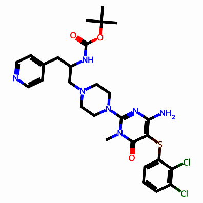 Cn1c(N2CCN(CC(Cc3ccncc3)NC(=O)OC(C)(C)C)CC2)nc(N)c(Sc2cccc(Cl)c2Cl)c1=O